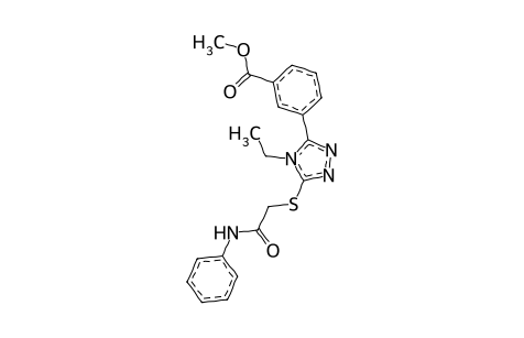 CCn1c(SCC(=O)Nc2ccccc2)nnc1-c1cccc(C(=O)OC)c1